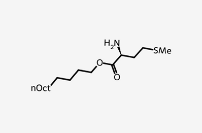 CCCCCCCCCCCCOC(=O)[C@@H](N)CCSC